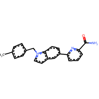 Cc1ccc(Cn2ccc3cc(-c4cccc(C(N)=O)n4)ccc32)cc1